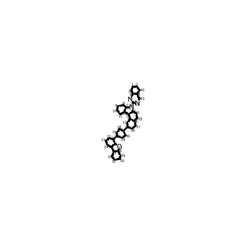 c1ccc2nc(-n3c4ccccc4c4c5cc(-c6ccc(-c7cccc8c7oc7ccccc78)cc6)ccc5ccc43)ncc2c1